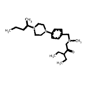 CCCC(C)N1CCN(c2ccc(CN(C)CC(=O)C(CC)CC)cc2)CC1